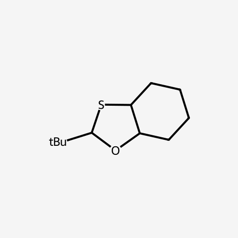 CC(C)(C)C1OC2CCCCC2S1